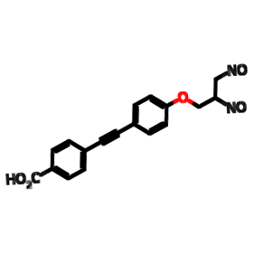 O=NCC(COc1ccc(C#Cc2ccc(C(=O)O)cc2)cc1)N=O